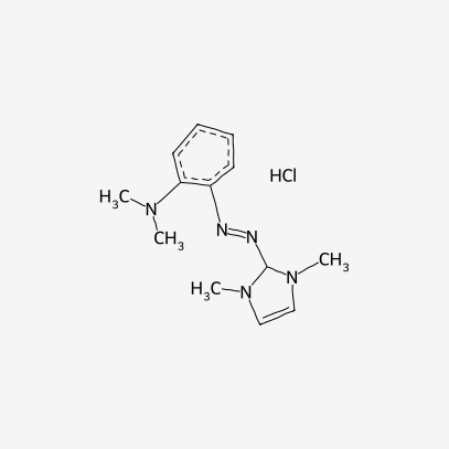 CN(C)c1ccccc1N=NC1N(C)C=CN1C.Cl